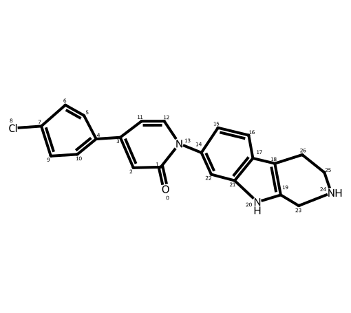 O=c1cc(-c2ccc(Cl)cc2)ccn1-c1ccc2c3c([nH]c2c1)CNCC3